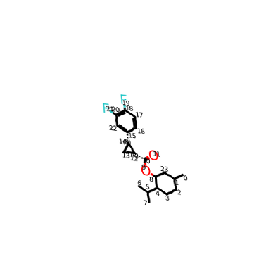 CC1CCC(C(C)C)C(OC(=O)[C@@H]2C[C@@H]2c2ccc(F)c(F)c2)C1